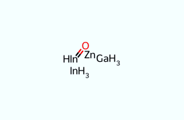 [GaH3].[InH3].[O]=[InH].[Zn]